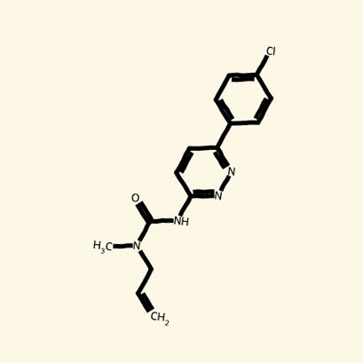 C=CCN(C)C(=O)Nc1ccc(-c2ccc(Cl)cc2)nn1